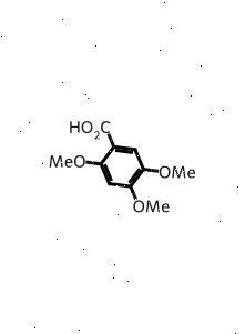 COc1cc(OC)c(C(=O)O)cc1OC